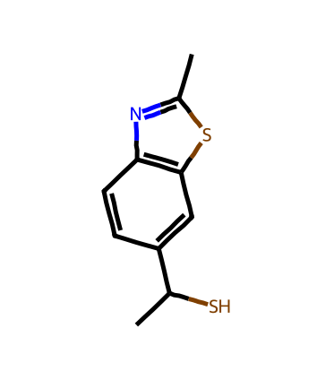 Cc1nc2ccc(C(C)S)cc2s1